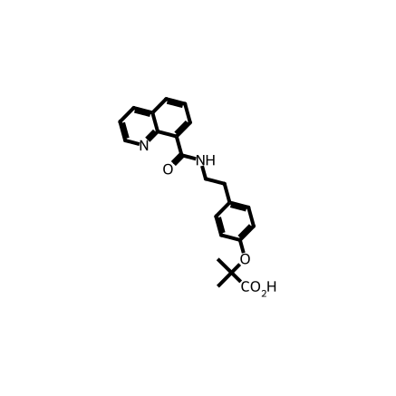 CC(C)(Oc1ccc(CCNC(=O)c2cccc3cccnc23)cc1)C(=O)O